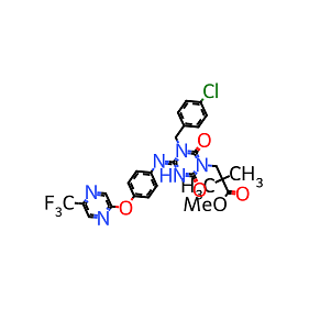 COC(=O)C(C)(C)Cn1c(=O)[nH]/c(=N\c2ccc(Oc3cnc(C(F)(F)F)cn3)cc2)n(Cc2ccc(Cl)cc2)c1=O